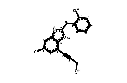 OCC#Cc1cc(Cl)cc2nc(Cc3ccccc3Cl)oc12